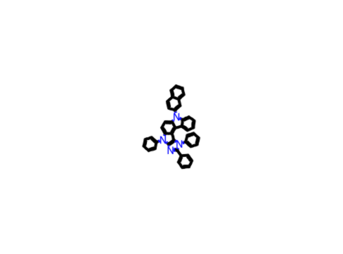 c1ccc(-c2nc3c(c4c5c6ccccc6n(-c6ccc7ccccc7c6)c5ccc4n3-c3ccccc3)n2-c2ccccc2)cc1